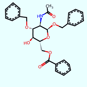 CC(=O)N[C@H]1[C@@H](OCc2ccccc2)O[C@H](COC(=O)c2ccccc2)[C@@H](O)[C@@H]1OCc1ccccc1